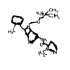 Cc1ccccc1-c1cc2ncc(NC(=O)c3ccnn3C)cc2n1COCC[Si](C)(C)C